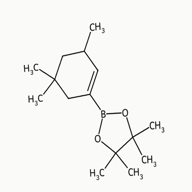 CC1C=C(B2OC(C)(C)C(C)(C)O2)CC(C)(C)C1